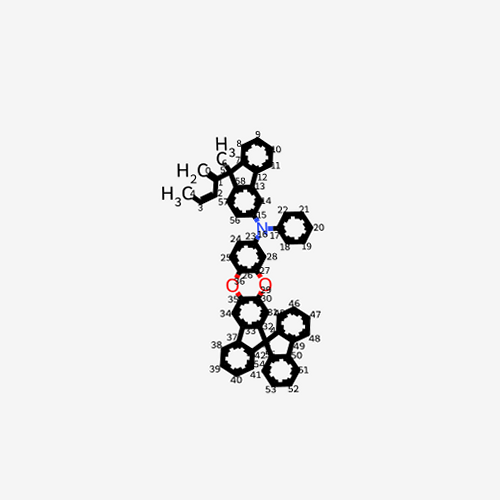 C=C(/C=C\C)C1(C)c2ccccc2-c2cc(N(c3ccccc3)c3ccc4c(c3)Oc3cc5c(cc3O4)-c3ccccc3C53c4ccccc4-c4ccccc43)ccc21